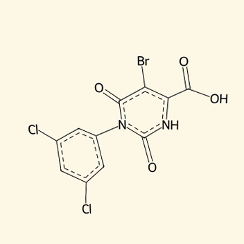 O=C(O)c1[nH]c(=O)n(-c2cc(Cl)cc(Cl)c2)c(=O)c1Br